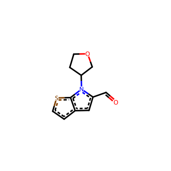 O=Cc1cc2ccsc2n1C1CCOC1